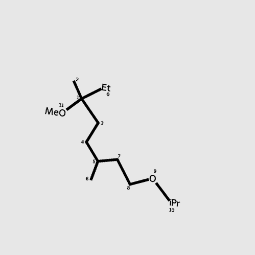 CCC(C)(CCC(C)CCOC(C)C)OC